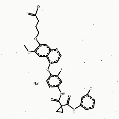 COc1cc2c(Oc3ccc(NC(=O)C4(C(=O)Nc5cccc(Cl)c5)CC4)cc3F)ccnc2cc1OCCCC(=O)[O-].[Na+]